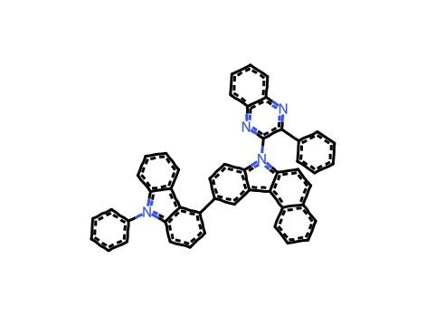 c1ccc(-c2nc3ccccc3nc2-n2c3ccc(-c4cccc5c4c4ccccc4n5-c4ccccc4)cc3c3c4ccccc4ccc32)cc1